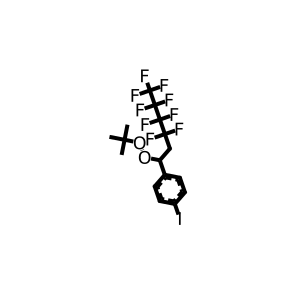 CC(C)(C)OOC(CC(F)(F)C(F)(F)C(F)(F)C(F)(F)F)c1ccc(I)cc1